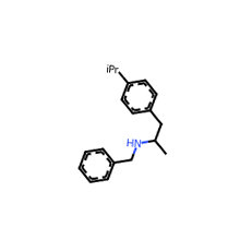 CC(Cc1ccc(C(C)C)cc1)NCc1ccccc1